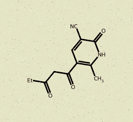 CCC(=O)CC(=O)c1cc(C#N)c(=O)[nH]c1C